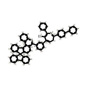 CCC1=C(c2ccccc2)N=C(c2ccc(-c3ccccc3)cc2)CC=C1c1cccc(-c2nc3ccccc3c3c4c(ccc23)C2(c3ccccc3-c3ccccc32)c2ccccc2-4)c1